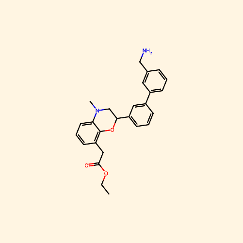 CCOC(=O)Cc1cccc2c1OC(c1cccc(-c3cccc(CN)c3)c1)CN2C